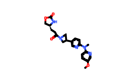 COc1ccc(N(C)c2ccc(C3CN(C(=O)CC[C@@H]4COC(=O)N4)C3)cn2)nc1